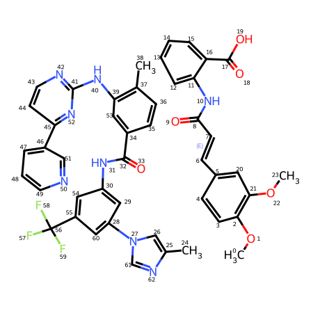 COc1ccc(/C=C/C(=O)Nc2ccccc2C(=O)O)cc1OC.Cc1cn(-c2cc(NC(=O)c3ccc(C)c(Nc4nccc(-c5cccnc5)n4)c3)cc(C(F)(F)F)c2)cn1